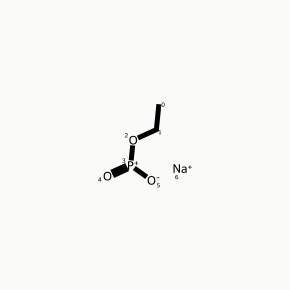 CCO[P+](=O)[O-].[Na+]